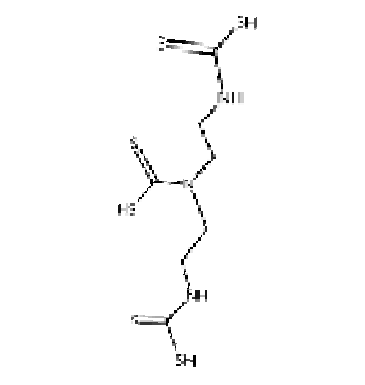 S=C(S)NCCN(CCNC(=S)S)C(=S)S